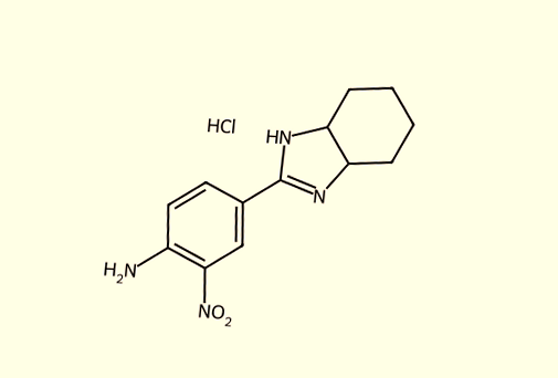 Cl.Nc1ccc(C2=NC3CCCCC3N2)cc1[N+](=O)[O-]